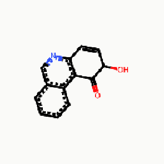 O=C1c2c(ncc3ccccc23)C=CC1O